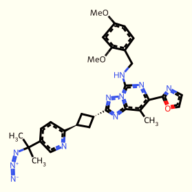 COc1ccc(CNc2nc(-c3ncco3)c(C)c3nc([C@H]4C[C@H](c5ccc(C(C)(C)N=[N+]=[N-])cn5)C4)nn23)c(OC)c1